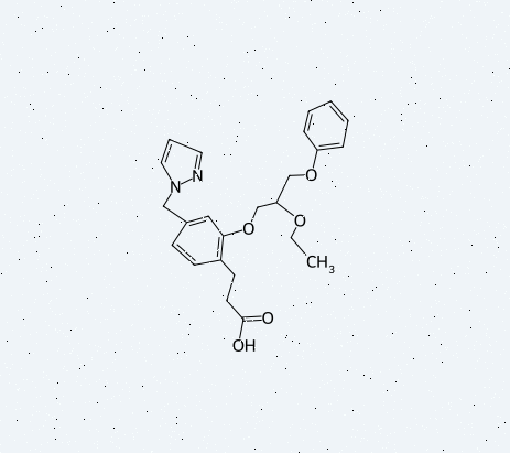 CCOC(COc1ccccc1)COc1cc(Cn2cccn2)ccc1CCC(=O)O